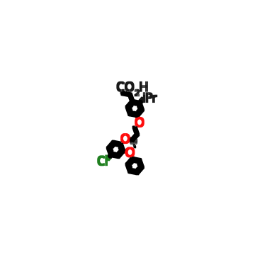 CC(C)c1cc(OCC[C@H](C)Oc2ccc(Cl)cc2Oc2ccccc2)ccc1CCC(=O)O